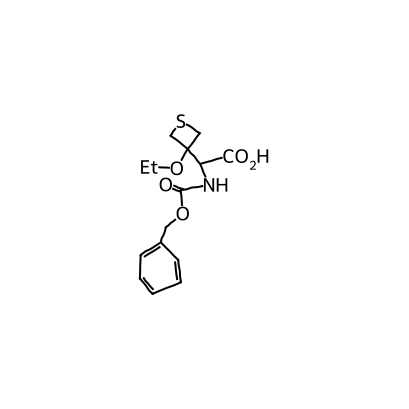 CCOC1(C(NC(=O)OCc2ccccc2)C(=O)O)CSC1